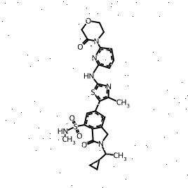 CNS(=O)(=O)c1cc(-c2sc(Nc3cccc(N4CCOCC4=O)n3)nc2C)cc2c1C(=O)N(C(C)C1CC1)C2